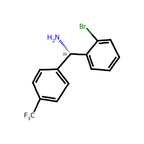 N[C@@H](c1ccc(C(F)(F)F)cc1)c1ccccc1Br